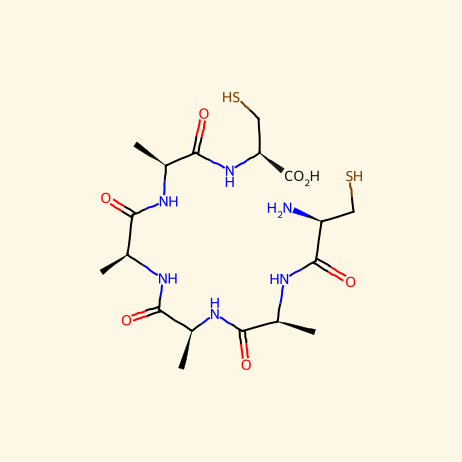 C[C@H](NC(=O)[C@H](C)NC(=O)[C@H](C)NC(=O)[C@@H](N)CS)C(=O)N[C@@H](C)C(=O)N[C@@H](CS)C(=O)O